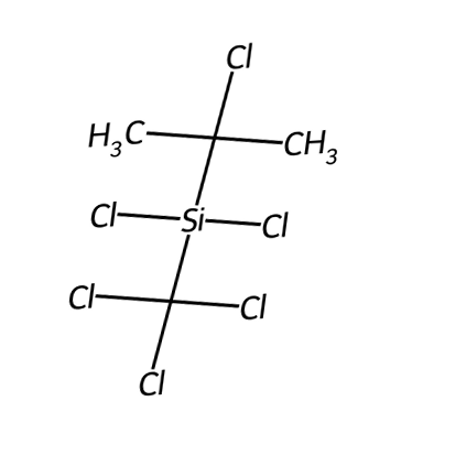 CC(C)(Cl)[Si](Cl)(Cl)C(Cl)(Cl)Cl